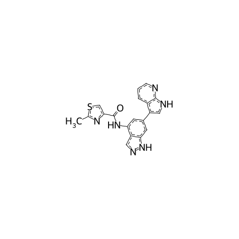 Cc1nc(C(=O)Nc2cc(-c3c[nH]c4ncccc34)cc3[nH]ncc23)cs1